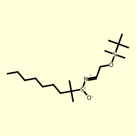 CCCCCCCC(C)(C)[S+]([O-])/N=C/CO[Si](C)(C)C(C)(C)C